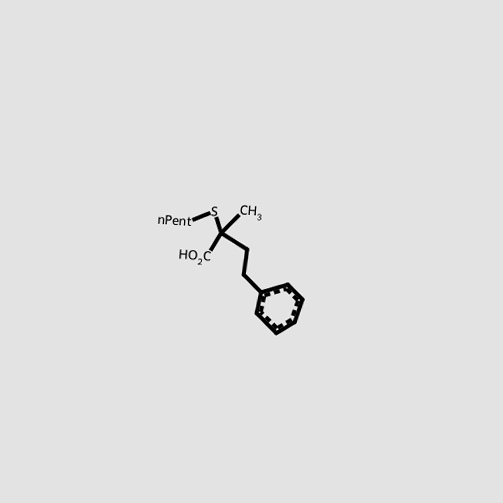 CCCCCSC(C)(CCc1ccccc1)C(=O)O